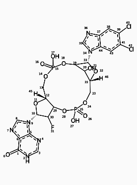 O=c1[nH]cnc2c1ncn2[C@@H]1O[C@@H]2COP(=O)(O)OC3C(O)[C@@H](COP(=O)(O)OC2C1F)O[C@H]3n1cnc2cc(Cl)c(Cl)cc21